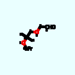 CCCOC(C)(C)COCC=O